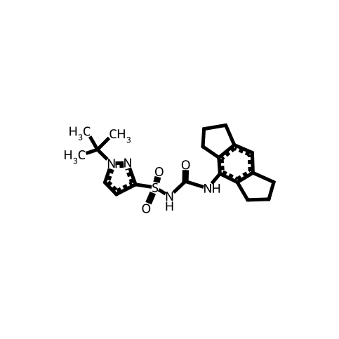 CC(C)(C)n1ccc(S(=O)(=O)NC(=O)Nc2c3c(cc4c2CCC4)CCC3)n1